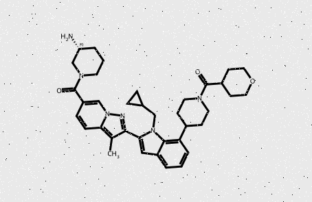 Cc1c(-c2cc3cccc(C4CCN(C(=O)C5CCOCC5)CC4)c3n2CC2CC2)nn2cc(C(=O)N3CCC[C@@H](N)C3)ccc12